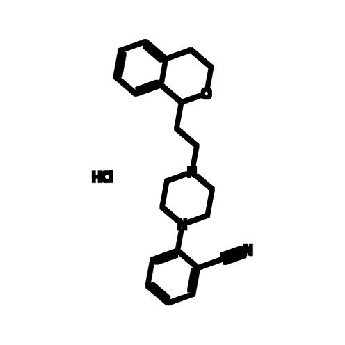 Cl.N#Cc1ccccc1N1CCN(CCC2OCCc3ccccc32)CC1